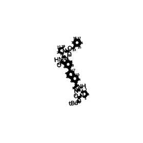 CC(C)(C)OC(=O)N1CCC[C@H]1c1ncc(-c2ccc3cc(-c4ccc5nc([C@@H]6CCCN6C(=O)OCc6ccccc6)[nH]c(=O)c5c4)ccc3c2)[nH]1